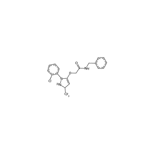 O=C(COC1=CC(C(F)(F)F)NN1c1ccccc1Cl)NCc1ccccc1